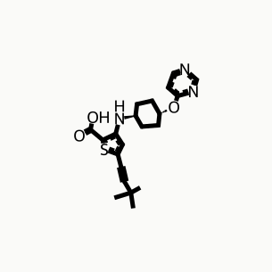 CC(C)(C)C#Cc1cc(N[C@H]2CC[C@H](Oc3ccncn3)CC2)c(C(=O)O)s1